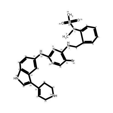 CN(c1ccccc1CNc1nc(Nc2ccc3[nH]cc(C4=CCNCC4)c3c2)ncc1Br)S(C)(=O)=O